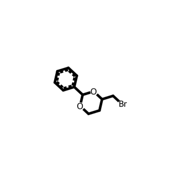 BrCC1CCOC(c2ccccc2)O1